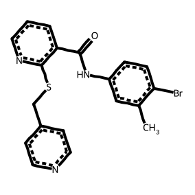 Cc1cc(NC(=O)c2cccnc2SCc2ccncc2)ccc1Br